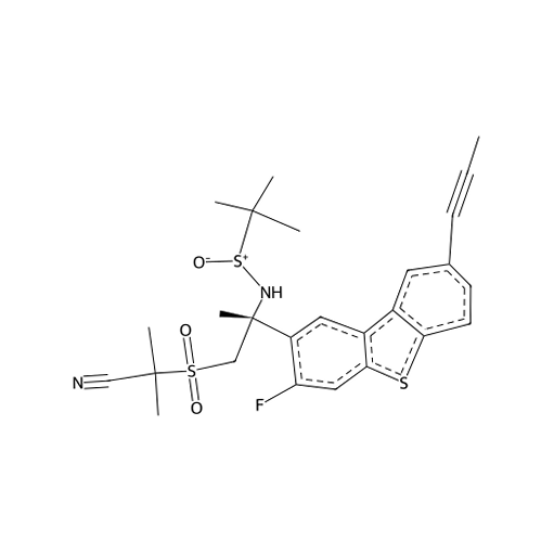 CC#Cc1ccc2sc3cc(F)c([C@](C)(CS(=O)(=O)C(C)(C)C#N)N[S+]([O-])C(C)(C)C)cc3c2c1